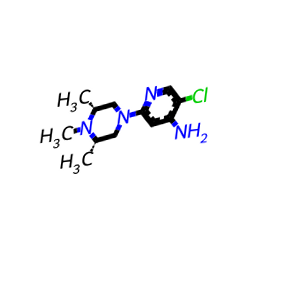 C[C@@H]1CN(c2cc(N)c(Cl)cn2)C[C@H](C)N1C